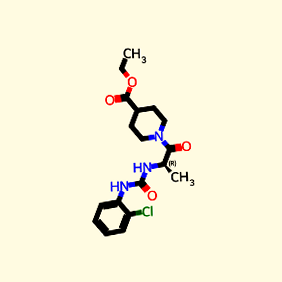 CCOC(=O)C1CCN(C(=O)[C@@H](C)NC(=O)Nc2ccccc2Cl)CC1